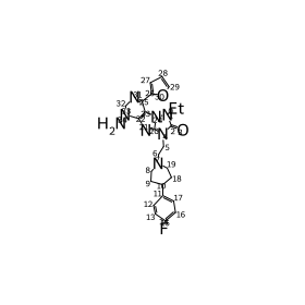 CCn1c(=O)n(CCN2CCC(c3ccc(F)cc3)CC2)c2nc3c(n21)C(c1ccco1)=NCN3N